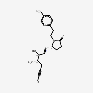 CCC#CC[C@H](C)[C@@H](O)/C=C/[C@H]1CCC(=O)N1CCc1ccc(C(=O)O)cc1